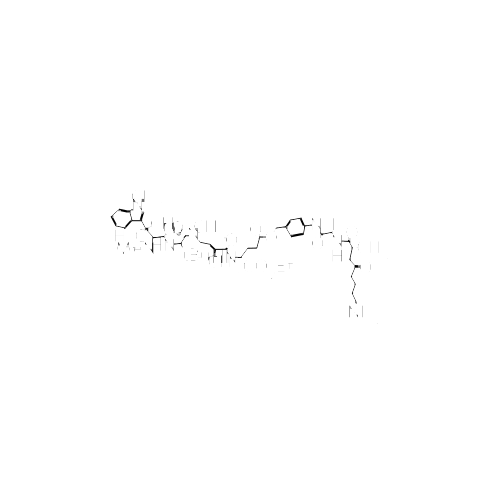 CCOC(=O)[C@@H](CCC(=O)OCc1ccc(NC(=O)CNC(=O)[C@H](C)CC(=O)CCCCN)cc1)NC(=O)/C(C)=C/CN(C)C(=O)C(NC(=O)[C@@H](NC)C(C)(C)c1cn(C)c2ccccc12)C(C)(C)C